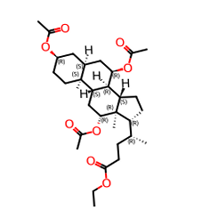 CCOC(=O)CC[C@@H](C)[C@H]1CC[C@H]2[C@@H]3[C@H](OC(C)=O)C[C@@H]4C[C@H](OC(C)=O)CC[C@]4(C)[C@H]3C[C@@H](OC(C)=O)[C@]12C